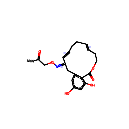 CNC(=O)CO/N=C1\C=C\CC/C=C/CCOC(=O)c2c(O)cc(O)cc2C1